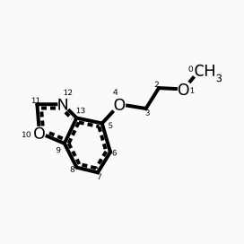 COCCOc1cccc2ocnc12